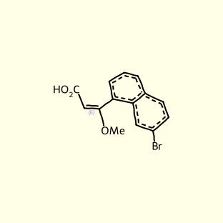 CO/C(=C/C(=O)O)c1cccc2ccc(Br)cc12